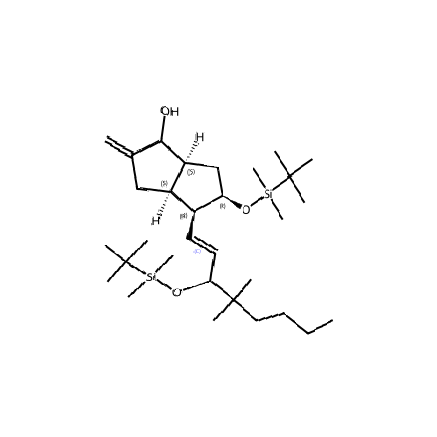 C=C1C[C@@H]2[C@H](/C=C/C(O[Si](C)(C)C(C)(C)C)C(C)(C)CCCC)[C@H](O[Si](C)(C)C(C)(C)C)C[C@@H]2C1O